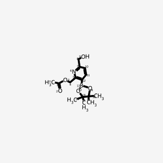 CC(=O)OCc1nc(CO)ccc1B1OC(C)(C)C(C)(C)O1